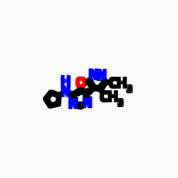 Cc1nnc2oc3c(NC4CCCC4)ncnc3c2c1C